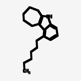 CCCCCCc1cccc2[nH]c3c(c12)CCCCC3